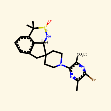 CCOC(=O)c1nc(Br)c(C)nc1N1CCC2(CC1)Cc1cccc3c1[C@H]2N[S@+]([O-])C3(C)C